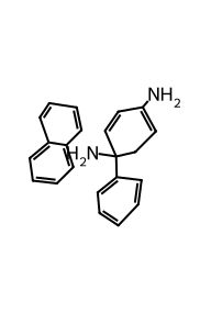 NC1=CCC(N)(c2ccccc2)C=C1.c1ccc2ccccc2c1